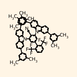 Cc1cc(C)cc(-c2ccc3c4ccc(-c5cc(C)cc(C)c5)cc4n(-c4cc(-c5c(C(F)(F)F)cccc5C(F)(F)F)cc(-n5c6cc(-c7cc(C)cc(C)c7)ccc6c6ccc(-c7cc(C)cc(C)c7)cc65)c4C#N)c3c2)c1